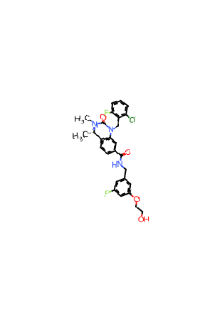 C[C@H]1c2ccc(C(=O)NCc3cc(F)cc(OCCO)c3)cc2N(Cc2c(F)cccc2Cl)C(=O)N1C